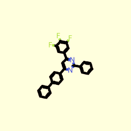 Fc1cc(-c2cc(-c3ccc(-c4ccccc4)cc3)nc(-c3ccccc3)n2)cc(F)c1F